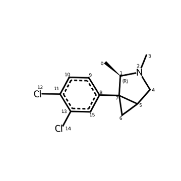 C[C@H]1N(C)CC2CC21c1ccc(Cl)c(Cl)c1